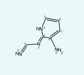 N=C/N=c1\[nH]cccc1N